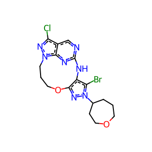 Clc1nn2c3nc(ncc13)Nc1c(nn(C3CCCOCC3)c1Br)OCCC2